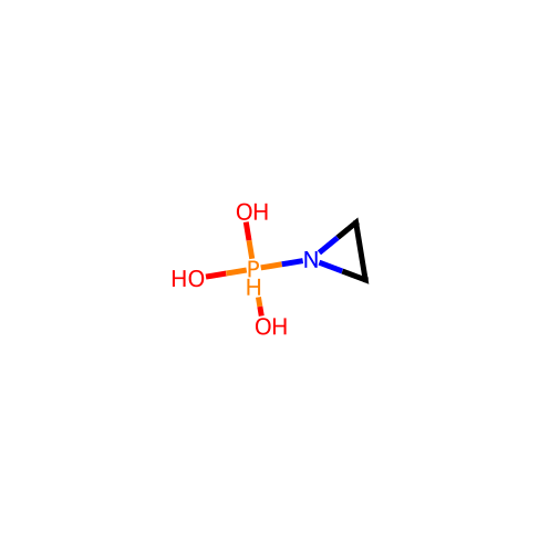 O[PH](O)(O)N1CC1